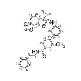 Cc1cc(C(=O)NCCc2ccccn2)ccc1-c1cccc(NC(=O)C2(c3ccc4c(c3)OCO4)CC2)c1